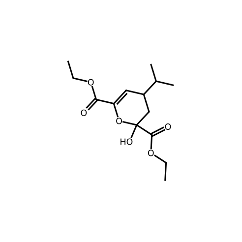 CCOC(=O)C1=CC(C(C)C)CC(O)(C(=O)OCC)O1